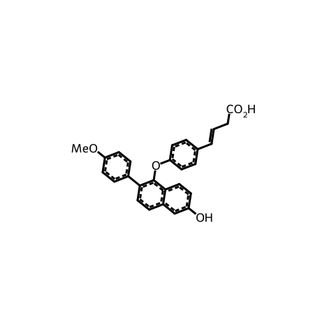 COc1ccc(-c2ccc3cc(O)ccc3c2Oc2ccc(/C=C/CC(=O)O)cc2)cc1